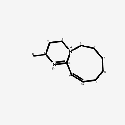 CC1CCN2CCCCCC=CC2=N1